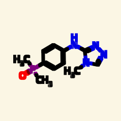 Cn1cnnc1Nc1ccc(P(C)(C)=O)cc1